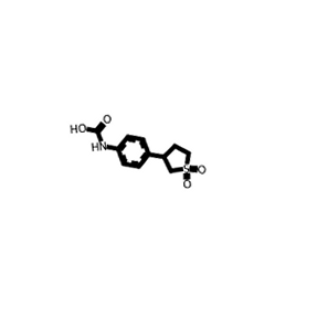 O=C(O)Nc1ccc(C2CCS(=O)(=O)C2)cc1